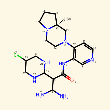 NC(N)C(C(=O)Nc1cnccc1N1CCN2CCC[C@H]2C1)C1NCC(Cl)CN1